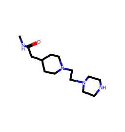 CNC(=O)CC1CCN(CCN2CCNCC2)CC1